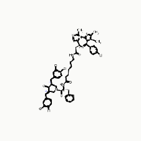 Cc1sc2c(c1C)C(c1ccc(Cl)cc1)=N[C@@H](CC(=O)NCCCCCCC(=O)N[C@H](Cc1ccccc1)C(=O)N1C/C(=C\c3ccc(Cl)c(Cl)c3)C(=O)/C(=C/c3ccc(Cl)c(Cl)c3)C1)c1nnc(C)n1-2